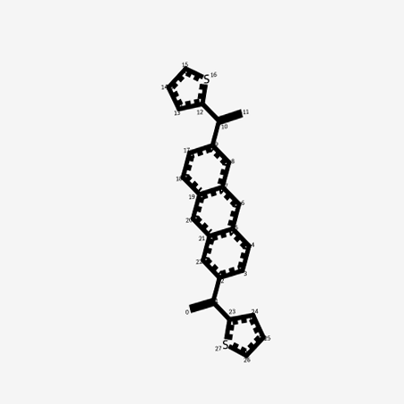 C=C(c1ccc2cc3cc(C(=C)c4cccs4)ccc3cc2c1)c1cccs1